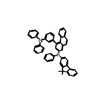 CC1(C)c2ccccc2-c2ccc(N(c3ccccc3)c3cc(-c4cccc(N(c5ccccc5)c5ccccc5)c4)c4c(ccc5ccccc54)c3)cc21